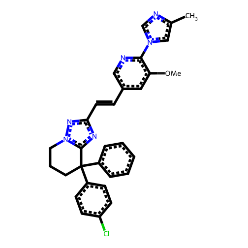 COc1cc(C=Cc2nc3n(n2)CCCC3(c2ccccc2)c2ccc(Cl)cc2)cnc1-n1cnc(C)c1